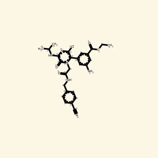 CCOC(=O)c1cc(N)cc(-c2c(Cl)nc(NC(C)C)c(=O)n2CC(=O)NCc2ccc(C#N)cc2)c1